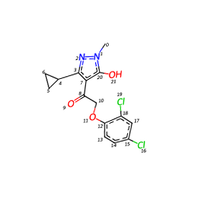 Cn1nc(C2CC2)c(C(=O)COc2ccc(Cl)cc2Cl)c1O